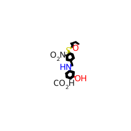 O=C(O)c1ccc(NCc2ccc(SC3=CCCO3)c([N+](=O)[O-])c2)cc1O